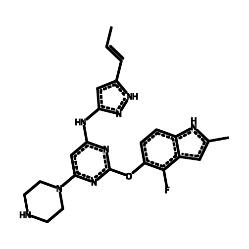 C/C=C/c1cc(Nc2cc(N3CCNCC3)nc(Oc3ccc4[nH]c(C)cc4c3F)n2)n[nH]1